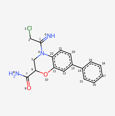 N=C(CCl)N1CC(C(N)=O)Oc2cc(-c3ccccc3)ccc21